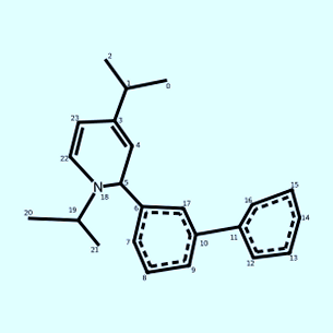 CC(C)C1=CC(c2cccc(-c3ccccc3)c2)N(C(C)C)C=C1